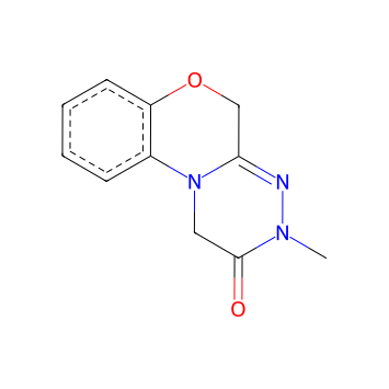 CN1N=C2COc3ccccc3N2CC1=O